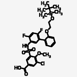 COc1c(Cl)cc(C(=O)O)cc1S(=O)(=O)Nc1cc(-c2ccccc2OCCO[Si](C)(C)C(C)(C)C)c(F)cc1F